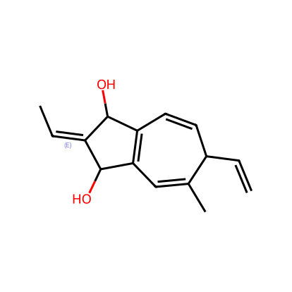 C=CC1C=CC2=C(C=C1C)C(O)/C(=C/C)C2O